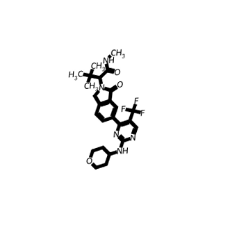 CNC(=O)C(N1Cc2ccc(-c3nc(NC4CCOCC4)ncc3C(F)(F)F)cc2C1=O)C(C)(C)C